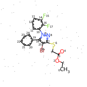 CCOC(=O)CSc1nn(-c2cccc(F)c2F)c(-c2ccccc2)c1Br